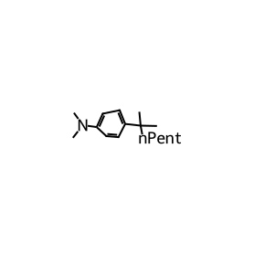 CCCCCC(C)(C)c1ccc(N(C)C)cc1